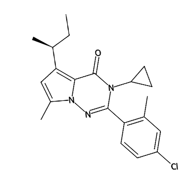 CC[C@H](C)c1cc(C)n2nc(-c3ccc(Cl)cc3C)n(C3CC3)c(=O)c12